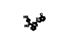 OC1CN(C(O)c2nc(NCc3cccc(Cl)c3)nc3ccsc23)C1